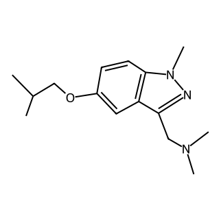 CC(C)COc1ccc2c(c1)c(CN(C)C)nn2C